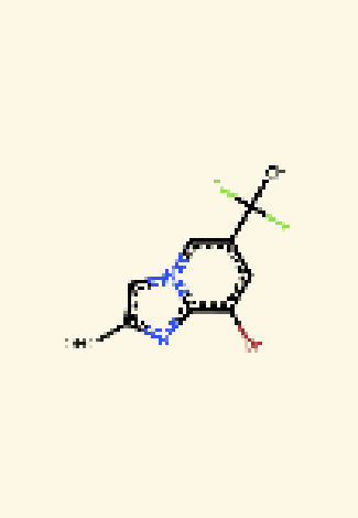 CC(F)(F)c1cc(Br)c2nc(C=O)cn2c1